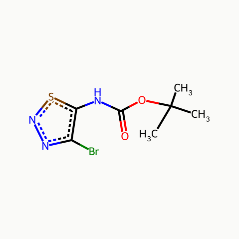 CC(C)(C)OC(=O)Nc1snnc1Br